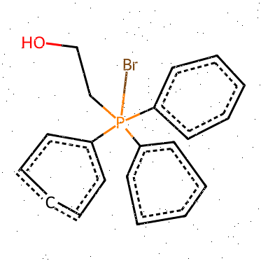 OCCP(Br)(c1ccccc1)(c1ccccc1)c1ccccc1